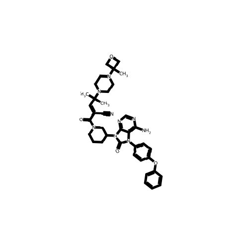 CC(C)(C=C(C#N)C(=O)N1CCCC(n2c(=O)n(-c3ccc(Oc4ccccc4)cc3)c3c(N)ncnc32)C1)N1CCN(C2(C)COC2)CC1